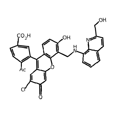 CC(=O)c1ccc(C(=O)O)cc1-c1c2cc(Cl)c(=O)cc-2oc2c(CNc3cccc4ccc(CO)nc34)c(O)ccc12